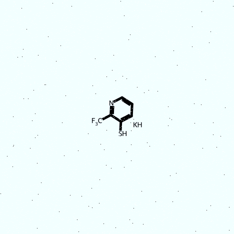 FC(F)(F)c1ncccc1S.[KH]